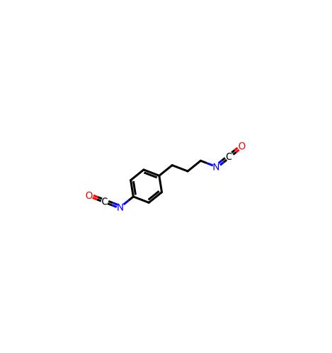 O=C=NCCCc1ccc(N=C=O)cc1